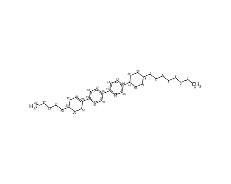 CCCCCCCCC1CCC(c2ccc(-c3ccc(C4=CCC(CCCCC)CC4)cc3)cc2)CC1